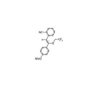 COc1ccc(/C(OCC(F)(F)F)=C(\I)c2ccccc2C#N)cc1